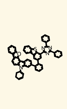 C1=CCCC(n2c3cc(-c4ccccc4-c4cc(-c5nc(-c6ccccc6)nc(-c6ccccc6)n5)c5sc6ccccc6c5c4)ccc3c3c4oc5ccccc5c4ccc32)=C1